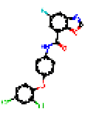 O=C(Nc1ccc(Oc2ccc(Cl)cc2Cl)cc1)c1cc(F)cc2ncoc12